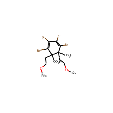 CCCCOCCC1(C(=O)O)C(Br)=C(Br)C(Br)=C(Br)C1(CCOCCCC)C(=O)O